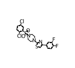 O=S(=O)(c1cc(Cl)ccc1Cl)N1CCN(c2nc(-c3ccc(F)c(F)c3)cs2)CC1